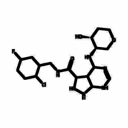 O=C(NCC1CC(F)CCC1Cl)C1NNC2NC=NC(N[C@@H]3COCC[C@H]3O)C21